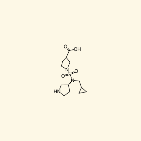 O=C(O)C1CCN(S(=O)(=O)N(CC2CC2)[C@H]2CCNC2)C1